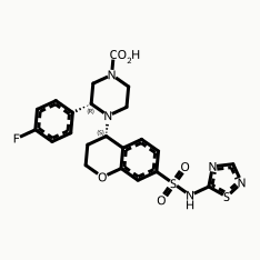 O=C(O)N1CCN([C@H]2CCOc3cc(S(=O)(=O)Nc4ncns4)ccc32)[C@H](c2ccc(F)cc2)C1